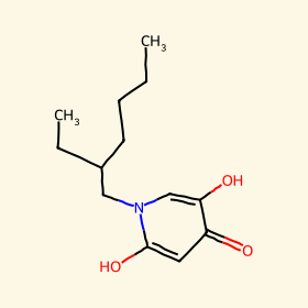 CCCCC(CC)Cn1cc(O)c(=O)cc1O